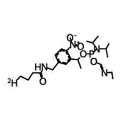 [2H]CCCC(=O)NCc1ccc([N+](=O)[O-])c(C(C)OP(O/C=N/CC)N(C(C)C)C(C)C)c1